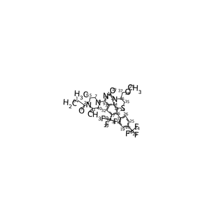 C=CC(=O)N1[C@H](C)CN(c2nc(=O)n3c4c(c(-c5ccc(C(F)(F)F)cc5)c(C(F)(F)F)cc24)SCC3COC)C[C@@H]1C